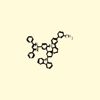 Cc1cccc(-c2ccc3c(c2)c2ccccc2n3-c2ccc(-c3nc(-c4ccccc4)cc(-c4ccccc4)n3)cc2-c2cccc(-n3c4ccccc4c4ccccc43)c2)c1